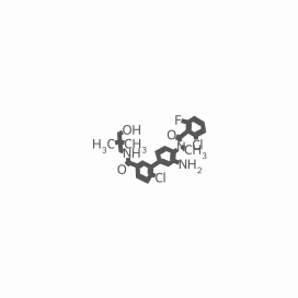 CN(C(=O)c1c(F)cccc1Cl)c1ccc(-c2cc(C(=O)NCC(C)(C)CO)ccc2Cl)cc1N